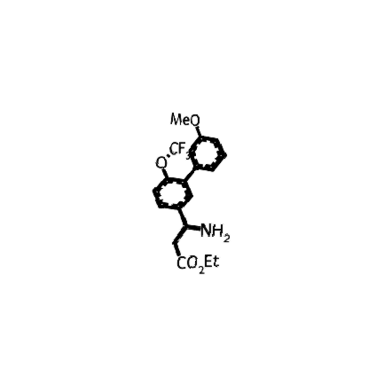 CCOC(=O)CC(N)c1ccc(OC(F)(F)F)c(-c2cccc(OC)c2)c1